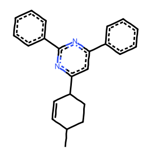 CC1C=CC(c2cc(-c3ccccc3)nc(-c3ccccc3)n2)CC1